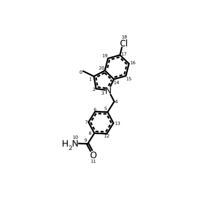 Cc1cn(Cc2ccc(C(N)=O)cc2)c2ccc(Cl)cc12